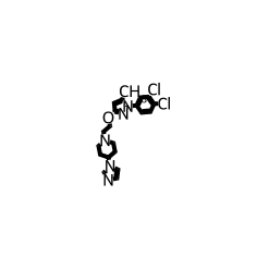 Cc1cc(OCCN2CCC(n3ccnc3)CC2)nn1-c1ccc(Cl)c(Cl)c1